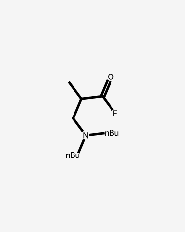 CCCCN(CCCC)CC(C)C(=O)F